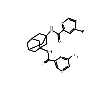 Cc1cncc(C(=O)NC23CC4CC(CC(NC(=O)c5cc(F)ccn5)(C4)C2)C3)n1